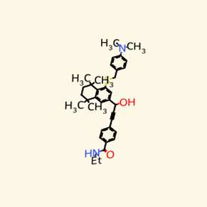 CCNC(=O)c1ccc(C#CC(O)c2cc(SCc3ccc(N(C)C)cc3)c3c(c2)C(C)(C)CCC3(C)C)cc1